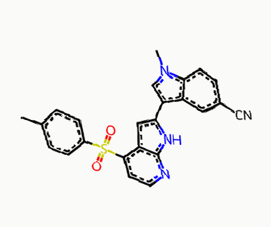 Cc1ccc(S(=O)(=O)c2ccnc3[nH]c(-c4cn(C)c5ccc(C#N)cc45)cc23)cc1